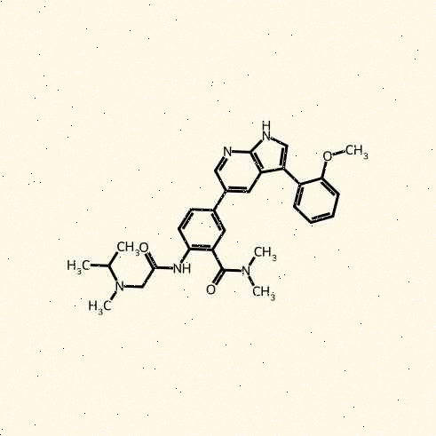 COc1ccccc1-c1c[nH]c2ncc(-c3ccc(NC(=O)CN(C)C(C)C)c(C(=O)N(C)C)c3)cc12